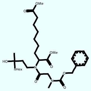 CCCCCCC(C)(O)CCN(C(=O)CN(C)C(=O)OCc1ccccc1)C(CCCCCCC(=O)OC)C(=O)OC